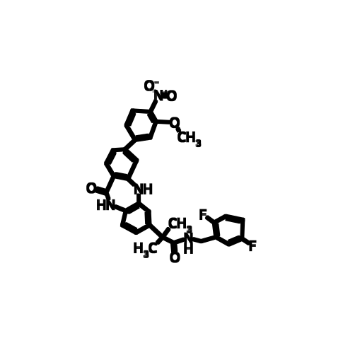 COc1cc(-c2ccc3c(c2)Nc2cc(C(C)(C)C(=O)NCc4cc(F)ccc4F)ccc2NC3=O)ccc1[N+](=O)[O-]